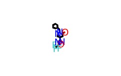 O=c1cc(-c2noc(C(F)(F)F)n2)cnn1Cc1ccccc1